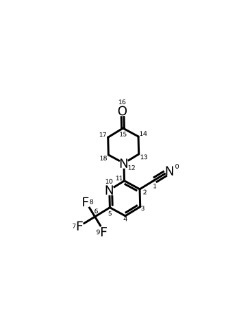 N#Cc1ccc(C(F)(F)F)nc1N1CCC(=O)CC1